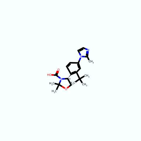 Cc1nccn1-c1ccc([C@@H]2COC(C)(C)N2C(=O)O)c(C(C)(C)C)c1